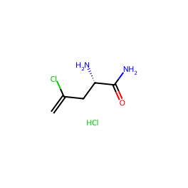 C=C(Cl)C[C@H](N)C(N)=O.Cl